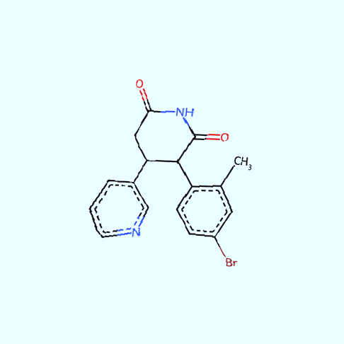 Cc1cc(Br)ccc1C1C(=O)NC(=O)CC1c1cccnc1